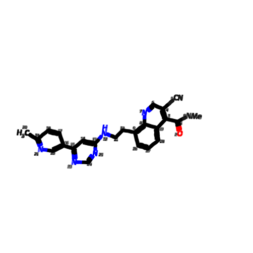 CNC(=O)c1c(C#N)cnc2c(CCNc3cc(-c4ccc(C)nc4)ncn3)cccc12